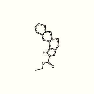 CCOC(=O)c1cc2ccc3cc4ccccc4cc3c2[nH]1